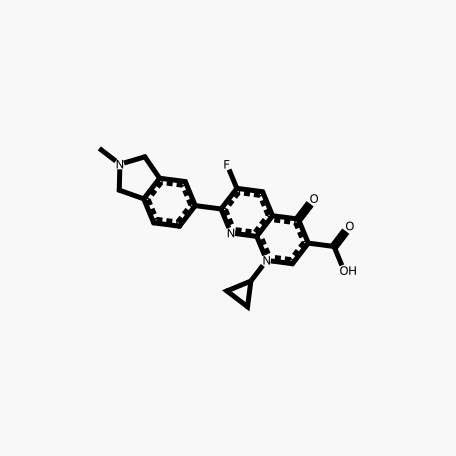 CN1Cc2ccc(-c3nc4c(cc3F)c(=O)c(C(=O)O)cn4C3CC3)cc2C1